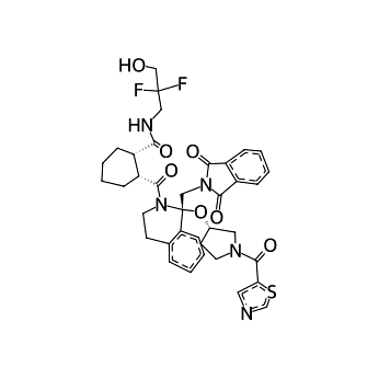 O=C(NCC(F)(F)CO)[C@H]1CCCC[C@H]1C(=O)N1CCc2ccccc2[C@@]1(CN1C(=O)c2ccccc2C1=O)O[C@H]1CCN(C(=O)c2cncs2)C1